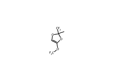 CC1(C(F)(F)F)OC=C(OC(F)(F)F)O1